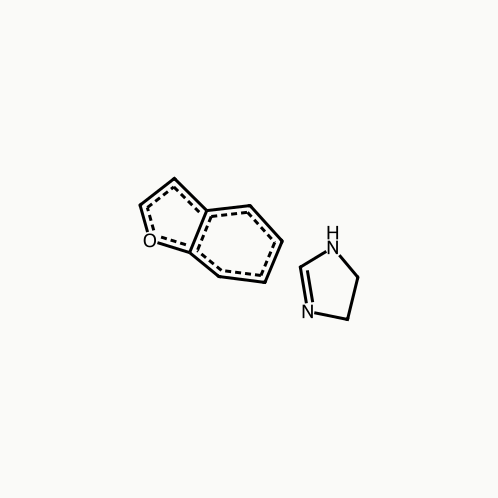 C1=NCCN1.c1ccc2occc2c1